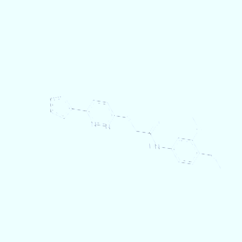 COc1ccc(NC(=O)CSc2ccc(-c3cccs3)nn2)cc1OC